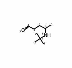 CC(CC[C]=O)NC(C)(C)C